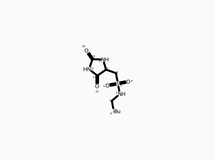 CCC(C)CNS(=O)(=O)CC1NC(=O)NC1=O